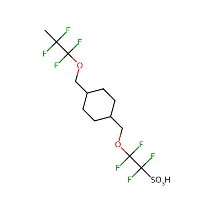 CC(F)(F)C(F)(F)OCC1CCC(COC(F)(F)C(F)(F)S(=O)(=O)O)CC1